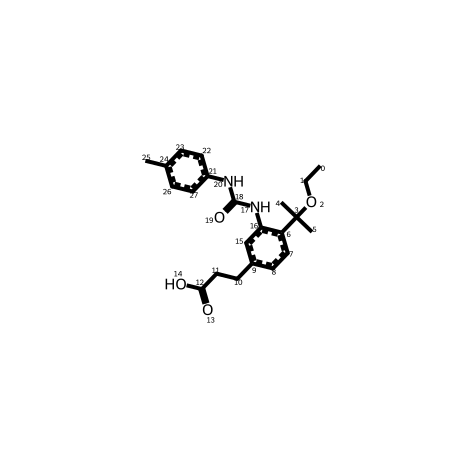 CCOC(C)(C)c1ccc(CCC(=O)O)cc1NC(=O)Nc1ccc(C)cc1